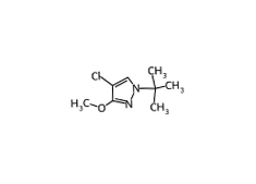 COc1nn(C(C)(C)C)cc1Cl